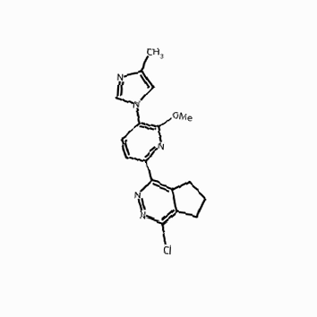 COc1nc(-c2nnc(Cl)c3c2CCC3)ccc1-n1cnc(C)c1